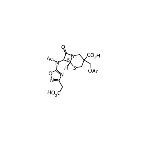 CC(=O)OCC1(C(=O)O)CS[C@@H]2C(N(C(C)=O)c3nc(CC(=O)O)no3)C(=O)N2C1